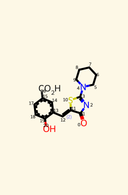 O=C1N=C(N2CCCCC2)S/C1=C\c1cc(C(=O)O)ccc1O